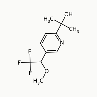 COC(c1ccc(C(C)(C)O)nc1)C(F)(F)F